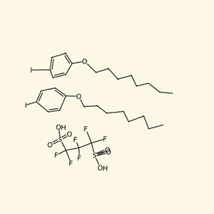 CCCCCCCCOc1ccc(I)cc1.CCCCCCCCOc1ccc(I)cc1.O=S(=O)(O)C(F)(F)C(F)(F)C(F)(F)S(=O)(=O)O